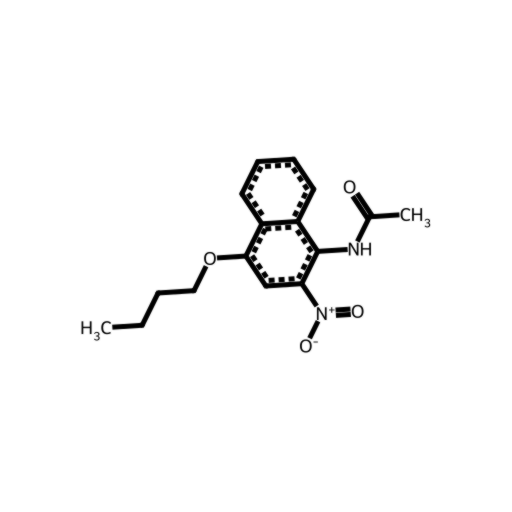 CCCCOc1cc([N+](=O)[O-])c(NC(C)=O)c2ccccc12